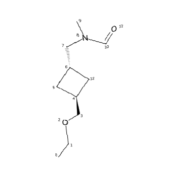 CCOC[C@H]1C[C@H](CN(C)C=O)C1